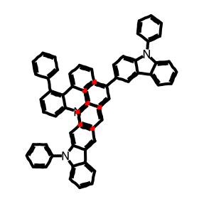 c1ccc(-c2ccccc2-c2c(-c3ccccc3)cccc2N(c2ccc(-c3ccc4c(c3)c3ccccc3n4-c3ccccc3)cc2)c2ccc3c4ccccc4n(-c4ccccc4)c3c2)cc1